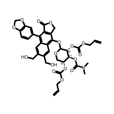 C=CCOC(=O)O[C@@H]1COC(Oc2c3c(c(-c4ccc5c(c4)OCO5)c4cc(CO)c(CO)cc24)C(=O)OC3)[C@H](OC(=O)OCC=C)[C@H]1OC(=O)N(C)C